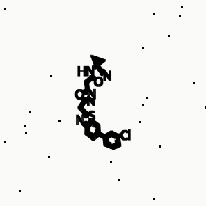 N#CC1(NC(=O)Cc2nnc(Cc3nc4ccc(-c5cccc(Cl)c5)cc4s3)o2)CC1